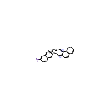 C#C/C=c1/c2c(cc/c1=C/Cc1ccc3cc(I)ccc3c1)C=CCC2